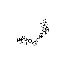 Cc1cc(-c2ncnn3cc(CCN4CCC(c5ccc6c(N7CCC(=O)NC7=O)nn(C)c6c5F)CC4)cc23)ccc1CNC(=O)c1noc(C(C)(C)C)n1